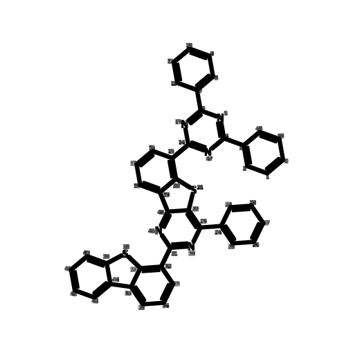 c1ccc(-c2nc(-c3ccccc3)nc(-c3cccc4c3sc3c(-c5ccccc5)nc(-c5cccc6c5sc5ccccc56)nc34)n2)cc1